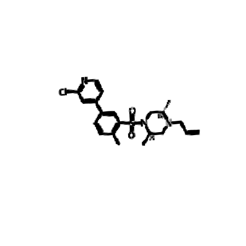 C=CCN1C[C@@H](C)N(S(=O)(=O)c2cc(-c3ccnc(Cl)c3)ccc2C)C[C@@H]1C